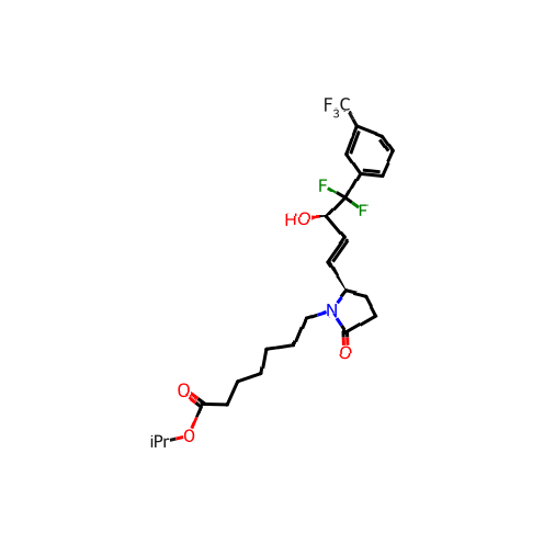 CC(C)OC(=O)CCCCCCN1C(=O)CC[C@@H]1/C=C/[C@@H](O)C(F)(F)c1cccc(C(F)(F)F)c1